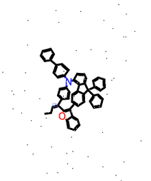 CC/C=C(/c1ccc(N(c2ccc(-c3ccccc3)cc2)c2cccc3c2-c2ccccc2C3(c2ccccc2)c2ccccc2)cc1)c1oc2ccccc2c1C